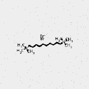 C[N+](C)(C)CCCCCCCCCC[N+](C)(C)C.[Br-].[Br-]